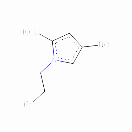 CC(C)CCn1cc([N+](=O)[O-])cc1C(=O)O